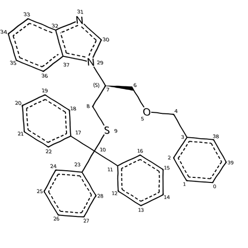 c1ccc(COC[C@@H](CSC(c2ccccc2)(c2ccccc2)c2ccccc2)n2cnc3ccccc32)cc1